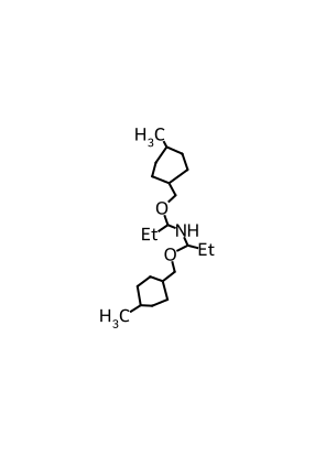 CCC(NC(CC)OCC1CCC(C)CC1)OCC1CCC(C)CC1